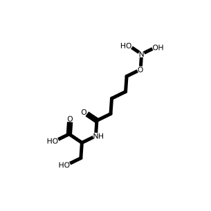 O=C(CCCCON(O)O)NC(CO)C(=O)O